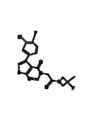 CC1(F)CN(C(=O)Cn2cnc3scc(-c4ccc(F)c(Cl)c4)c3c2=O)C1